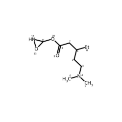 CCC(CCN(C)C)CC(=O)OC1NO1